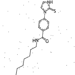 CCCCCCCNC(=O)c1ccc(-n2cc[nH]c2=S)cc1